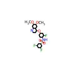 COc1cc2nccc(Oc3ccc(NS(=O)(=O)c4cc(F)cc(F)c4)c(F)c3)c2cc1OC